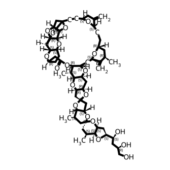 C=C1C[C@@H]2CCC34C[C@H]5O[C@H]6[C@@H](O3)[C@H]3O[C@H](CC[C@@H]3O[C@H]6[C@@H]5O4)CC(=O)O[C@@H]3[C@@H](C)[C@@H]4O[C@@H]5C[C@]6(C[C@@H]7O[C@]8(C[C@H](C)[C@@H]9O[C@H]([C@@H](O)C[C@@H](O)CO)C[C@@H]9O8)C[C@H](C)[C@@H]7O6)O[C@@H]5C[C@@H]4O[C@H]3C[C@@H]3O[C@H](CC[C@@H]1O2)C[C@@H](C)C3=C